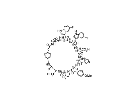 COc1ccc(C[C@@H]2NC(=O)[C@H](Cc3cnc[nH]3)NC(=O)[C@H](CC(=O)O)NC(=O)[C@H](Cc3c[nH]c4ccc(F)cc34)NC(=O)[C@H](CC3=CNC4C=CC(F)=CC34)NC(=O)[C@@H](C)NC(=O)Cc3ccc(cc3)NC(=O)CC(C(=O)O)NC(=O)[C@]3(C)CCCN3C2=O)cc1